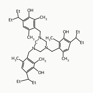 CCC(CC)c1cc(C)c(CN2CN(Cc3c(C)cc(C(CC)CC)c(O)c3C)CN(Cc3c(C)cc(C(CC)CC)c(O)c3C)C2)c(C)c1O